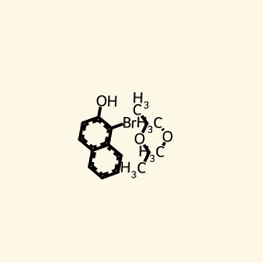 CCOCC.COC.Oc1ccc2ccccc2c1Br